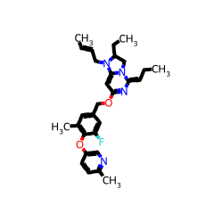 C/C=C/CN1C2=CC(OCc3cc(C)c(Oc4ccc(C)nc4)c(F)c3)=N/C(=C/CC)N2CC1CC